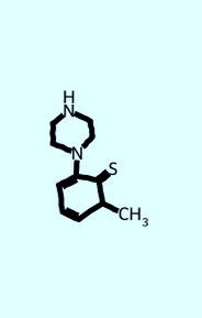 CC1C=CC=C(N2CCNCC2)C1=S